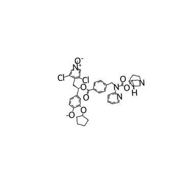 COc1ccc([C@@H](Cc2c(Cl)c[n+]([O-])cc2Cl)OC(=O)c2ccc(CN(C(=O)O[C@H]3CN4CCC3CC4)c3ccccn3)cc2)cc1OC1CCCC1